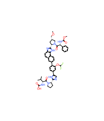 COC[C@H]1C[C@@H](c2nc3ccc4cc(-c5ccc(-c6cnc([C@@H]7CCCN7C(=O)[C@H](NC(=O)O)C(C)C)[nH]6)cc5OC(F)F)ccc4c3[nH]2)N(C(=O)[C@H](NC(=O)OC)c2ccccc2)C1